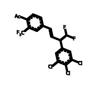 CC(=O)c1ccc(/C=C/C(c2cc(Cl)c(Cl)c(Cl)c2)C(F)F)cc1C(F)(F)F